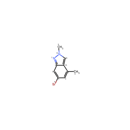 Cc1cc(Br)cc2nn(C)cc12